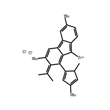 CC(C)=c1c(C(C)(C)C)cc2c(c1C1=CC(C(C)(C)C)=CC1C)[C]([Zr+2])=c1ccc(C(C)(C)C)cc1=2.[Cl-].[Cl-]